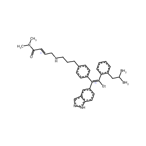 BC(B)Cc1ccccc1/C(CC)=C(\c1ccc(CCCNC/C=C/C(=O)N(C)C)cc1)c1ccc2[nH]ncc2c1